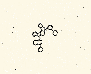 c1ccc(-c2cccc(-n3c4ccccc4c4c5c6ccccc6n(-c6ccc(-c7ccccc7)c7ccccc67)c5ccc43)c2)cc1